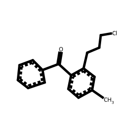 Cc1ccc(C(=O)c2ccccc2)c(CCCCl)c1